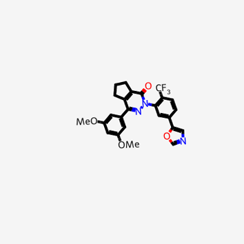 COc1cc(OC)cc(-c2nn(-c3cc(-c4cnco4)ccc3C(F)(F)F)c(=O)c3c2CCC3)c1